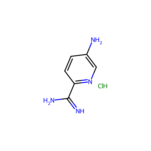 Cl.N=C(N)c1ccc(N)cn1